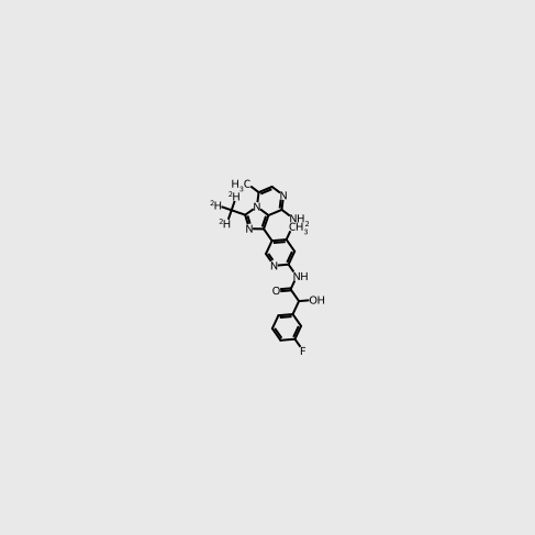 [2H]C([2H])([2H])c1nc(-c2cnc(NC(=O)C(O)c3cccc(F)c3)cc2C)c2c(N)ncc(C)n12